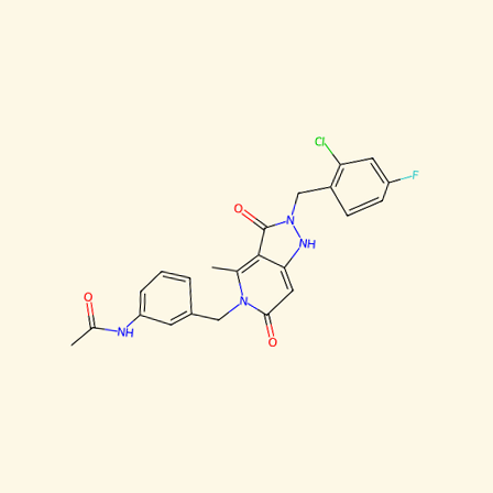 CC(=O)Nc1cccc(Cn2c(C)c3c(=O)n(Cc4ccc(F)cc4Cl)[nH]c3cc2=O)c1